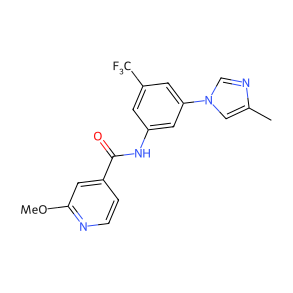 COc1cc(C(=O)Nc2cc(-n3cnc(C)c3)cc(C(F)(F)F)c2)ccn1